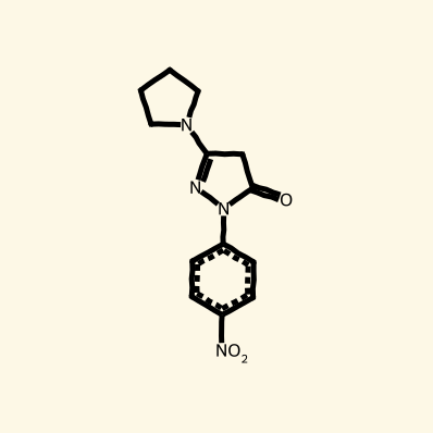 O=C1CC(N2CCCC2)=NN1c1ccc([N+](=O)[O-])cc1